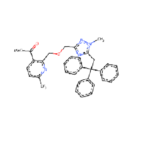 COC(=O)c1ccc(C(F)(F)F)nc1COCc1nc(CC(c2ccccc2)(c2ccccc2)c2ccccc2)n(C)n1